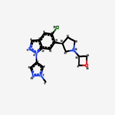 Cn1cc(-n2ncc3cc(Cl)c([C@H]4CCN(C5COC5)C4)cc32)cn1